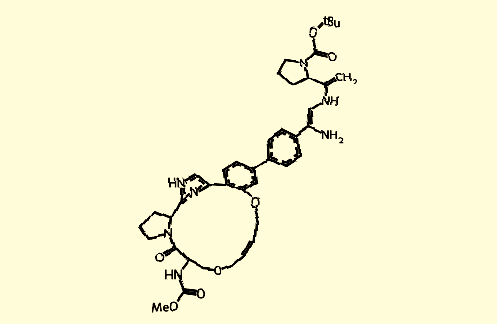 C=C(N/C=C(\N)c1ccc(-c2ccc3c(c2)OC/C=C\COCC(NC(=O)OC)C(=O)N2CCCC2c2nc-3c[nH]2)cc1)C1CCCN1C(=O)OC(C)(C)C